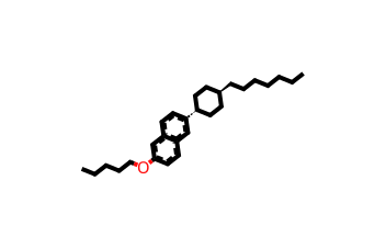 CCCCCCC[C@H]1CC[C@H](c2ccc3cc(OCCCCC)ccc3c2)CC1